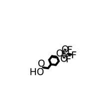 O=C(O)CC1CC=C(OS(=O)(=O)C(F)(F)F)CC1